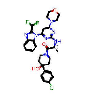 C[C@H](Nc1nc(N2CCOCC2)cc(-n2c(C(F)F)nc3ccccc32)n1)C(=O)N1CCC(O)(c2ccc(Cl)cc2)CC1